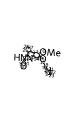 COc1cc2c3c(c(NC4COC4)nc2cc1OCCCN1CCCC1)CCC3